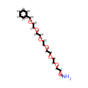 NOCCOCCOCCOCCOCCOCCOCc1ccccc1